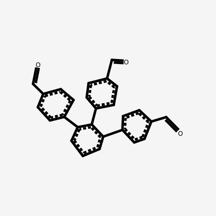 O=Cc1ccc(-c2cccc(-c3ccc(C=O)cc3)c2-c2ccc(C=O)cc2)cc1